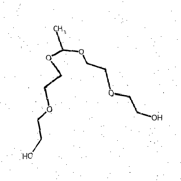 CC(OCCOCCO)OCCOCCO